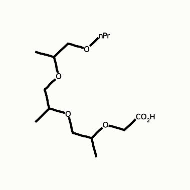 CCCOCC(C)OCC(C)OCC(C)OCC(=O)O